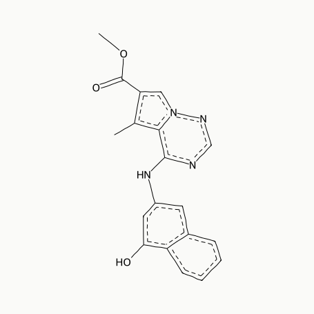 COC(=O)c1cn2ncnc(Nc3cc(O)c4ccccc4c3)c2c1C